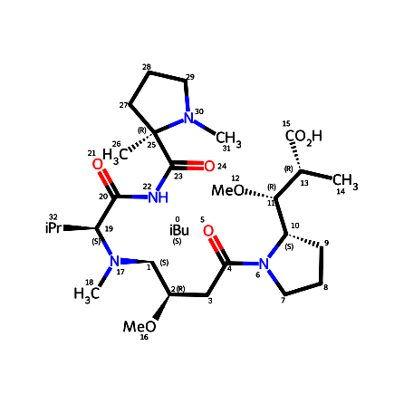 CC[C@H](C)[C@@H]([C@@H](CC(=O)N1CCC[C@H]1[C@H](OC)[C@@H](C)C(=O)O)OC)N(C)[C@H](C(=O)NC(=O)[C@@]1(C)CCCN1C)C(C)C